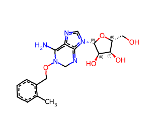 Cc1ccccc1CON1CN=c2c(ncn2[C@@H]2O[C@H](CO)[C@@H](O)[C@H]2O)=C1N